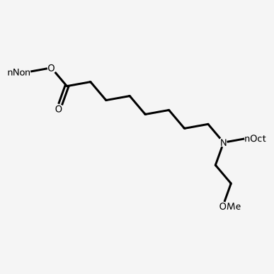 CCCCCCCCCOC(=O)CCCCCCCN(CCCCCCCC)CCOC